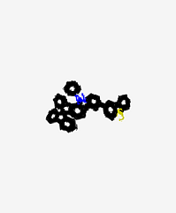 c1ccc(-n2c3ccc(-c4ccc5sc6ccccc6c5c4)cc3c3ccc4c(c32)-c2ccccc2C42c3ccccc3-c3ccccc32)cc1